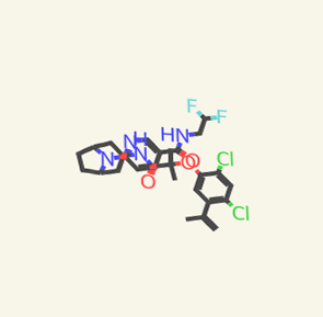 C=C(C)c1cc(OC(C)(C)C(=O)NC2CC3CCC(C2)N3c2ccc(C(=O)NCC(F)F)cn2)c(Cl)cc1Cl